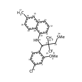 COc1cc(Cl)ccc1C(Nc1cccc2nc(C)ccc12)C(C)(CSC)C(F)(F)F